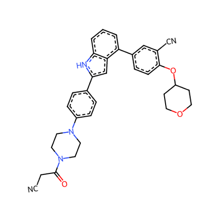 N#CCC(=O)N1CCN(c2ccc(-c3cc4c(-c5ccc(OC6CCOCC6)c(C#N)c5)cccc4[nH]3)cc2)CC1